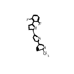 Fc1cccc(F)c1C1=NC(c2ccc(-c3ccc(C(F)(F)F)nc3)nc2)CC1